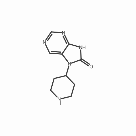 O=c1[nH]c2ncncc2n1C1CCNCC1